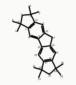 CC1(C)CC(C)(C)c2cc3c(cc21)Cc1cc2c(cc1-3)C(C)(C)CC2(C)C